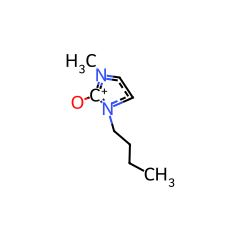 CCCCn1ccn(C)[c+]1[O-]